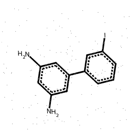 Nc1cc(N)cc(-c2cccc(I)c2)c1